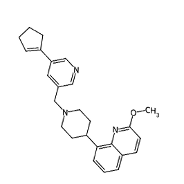 COc1ccc2cccc(C3CCN(Cc4cncc(C5=CCCC5)c4)CC3)c2n1